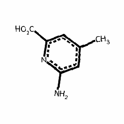 Cc1cc(N)nc(C(=O)O)c1